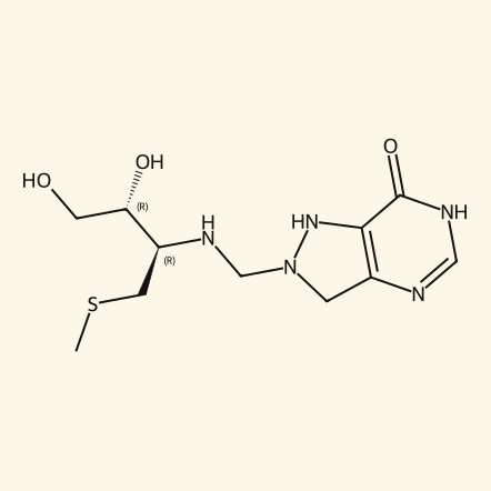 CSC[C@H](NCN1Cc2nc[nH]c(=O)c2N1)[C@@H](O)CO